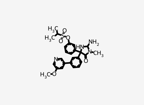 COc1cncc(-c2cccc(C3(c4cccc(OS(=O)(=O)C(C)C)c4)NC(N)N(C)C3=O)c2)c1